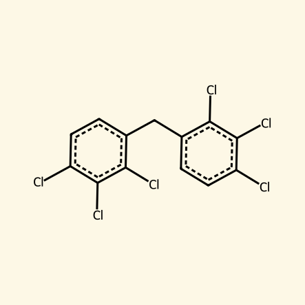 Clc1ccc(Cc2ccc(Cl)c(Cl)c2Cl)c(Cl)c1Cl